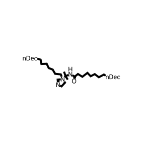 CCCCCCCCCCCCCCCCCC(=O)NC(C)(C)[N+]1(CCCCCCCCCCCCCCCCC)C=NCC1